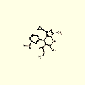 COC(=O)C1=C(C)Nc2c(c(C3CC3)nn2C)C1c1cccc([N+](=O)[O-])c1